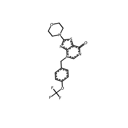 O=c1ncn(Cc2ccc(OC(F)(F)F)cc2)c2nc(N3CCOCC3)sc12